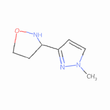 Cn1ccc(C2CCON2)n1